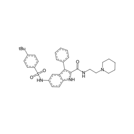 CC(C)(C)c1ccc(S(=O)(=O)Nc2ccc3[nH]c(C(=O)NCCN4CCCCC4)c(-c4ccccc4)c3c2)cc1